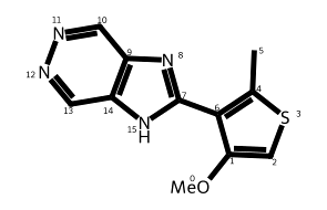 COc1csc(C)c1-c1nc2cnncc2[nH]1